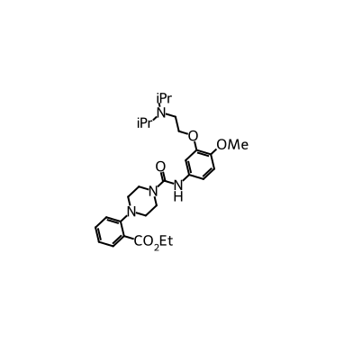 CCOC(=O)c1ccccc1N1CCN(C(=O)Nc2ccc(OC)c(OCCN(C(C)C)C(C)C)c2)CC1